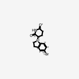 O=C1CCC(N2CCc3cc(Br)ccc32)C(=O)N1